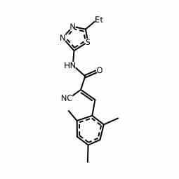 CCc1nnc(NC(=O)C(C#N)=Cc2c(C)cc(C)cc2C)s1